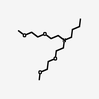 CCCCN(CCOCCOC)CCOCCOC